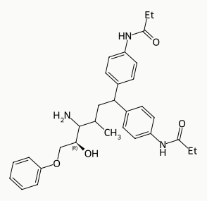 CCC(=O)Nc1ccc(C(CC(C)C(N)[C@@H](O)COc2ccccc2)c2ccc(NC(=O)CC)cc2)cc1